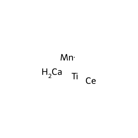 [CaH2].[Ce].[Mn].[Ti]